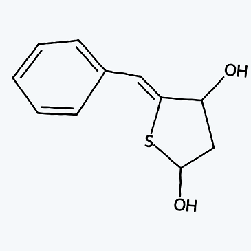 OC1CC(O)C(=Cc2ccccc2)S1